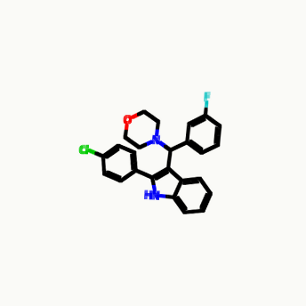 Fc1cccc(C(c2c(-c3ccc(Cl)cc3)[nH]c3ccccc23)N2CCOCC2)c1